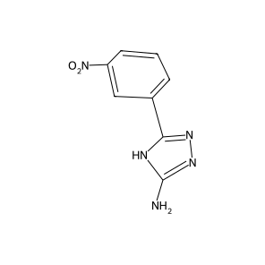 Nc1nnc(-c2cccc([N+](=O)[O-])c2)[nH]1